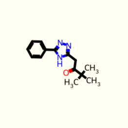 CC(C)(C)C(=O)Cc1nnc(-c2ccccc2)[nH]1